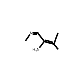 C/N=C\C(N)=C(C)C